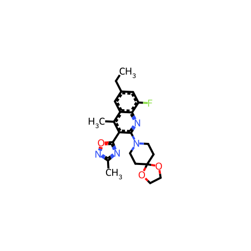 CCc1cc(F)c2nc(N3CCC4(CC3)OCCO4)c(-c3nc(C)no3)c(C)c2c1